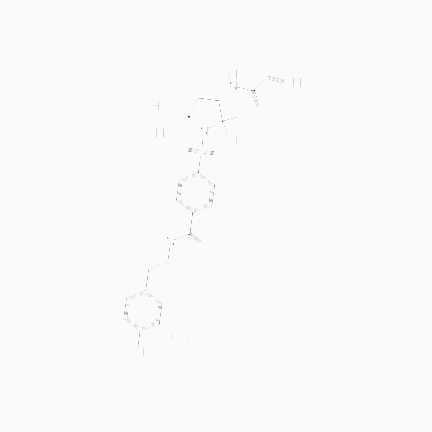 C=CC(=O)NC1CC(C)(C)N(S(=O)(=O)c2ccc(C(=O)NCCc3ccc(C)c(C)c3)cc2)C1(C)C